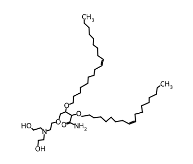 CCCCCCCC/C=C\CCCCCCCCOC(COCCN(CCO)CCO)C(OCCCCCCCC/C=C\CCCCCCCC)C(N)=O